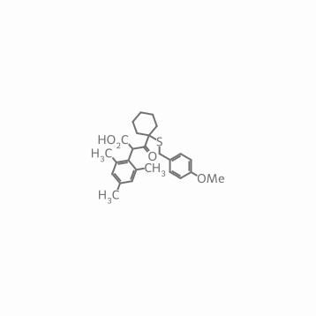 COc1ccc(CSC2(C(=O)C(C(=O)O)c3c(C)cc(C)cc3C)CCCCC2)cc1